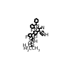 CC(C)(C)OC(=O)Nc1nc2c(-c3c(Cl)cc4c(N5CCNCC5)c(C#N)c(N=C(c5ccccc5)c5ccccc5)nc4c3F)ccc(F)c2s1